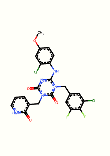 COc1ccc(Nc2nc(=O)n(Cc3ccc[nH]c3=O)c(=O)n2Cc2cc(F)c(F)c(Cl)c2)c(Cl)c1